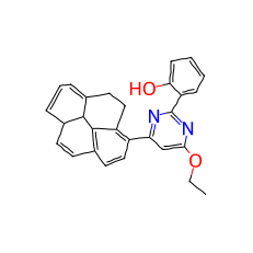 CCOc1cc(-c2ccc3c4c2CCC2=CC=CC(C=C3)C24)nc(-c2ccccc2O)n1